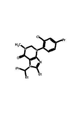 CCc1nc2c(n1C(CC)C(C)C)C(=O)N(C)CN2c1ccc(C(C)C)cc1Cl